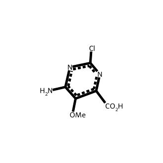 COc1c(N)nc(Cl)nc1C(=O)O